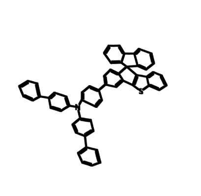 c1ccc(-c2ccc(N(c3ccc(-c4ccccc4)cc3)c3ccc(-c4ccc5c(c4)-c4sc6ccccc6c4C54c5ccccc5-c5ccccc54)cc3)cc2)cc1